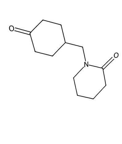 O=C1CCC(CN2CCCCC2=O)CC1